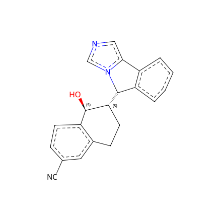 N#Cc1ccc2c(c1)CC[C@@H](C1c3ccccc3-c3cncn31)[C@@H]2O